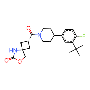 CC(C)(C)c1cc(C2CCN(C(=O)[C@H]3C[C@]4(COC(=O)N4)C3)CC2)ccc1F